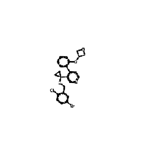 Clc1ccc(Br)cc1COC1(c2cnccc2-c2ccccc2OC2COC2)CC1